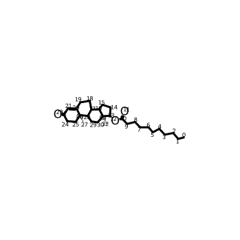 CCCCCCCCCCC(=O)OC1CCC2C3CCC4=CC(=O)CC[C@]4(C)C3CC[C@]12C